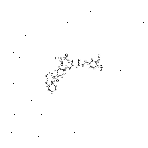 CCc1cn2ccccc2c1S(=O)(=O)c1ccc(OCCCNCCc2ccc(OC)c(OC)c2)cc1.O=C(O)C(=O)O